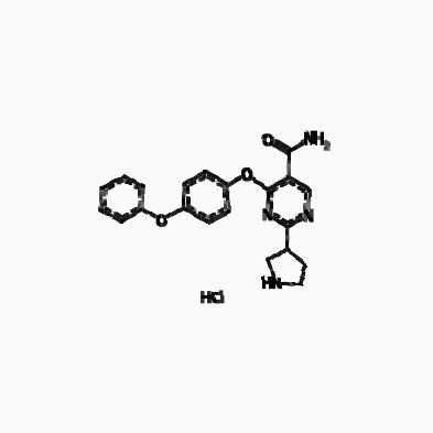 Cl.NC(=O)c1cnc(C2CCNC2)nc1Oc1ccc(Oc2ccccc2)cc1